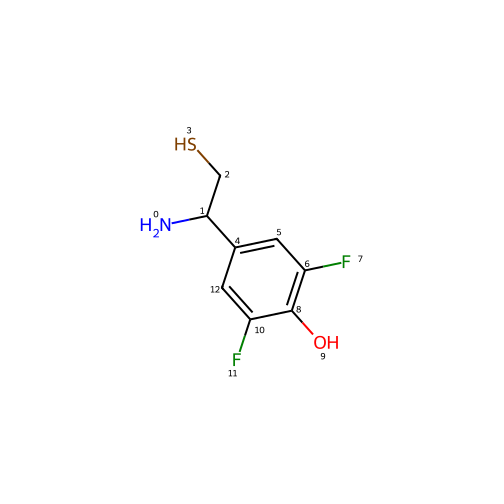 NC(CS)c1cc(F)c(O)c(F)c1